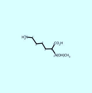 CN(O)C(CCCCN)C(=O)O